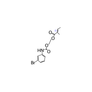 C/C=C(\C)C(=O)OCCOC(=O)Nc1cccc(Br)c1